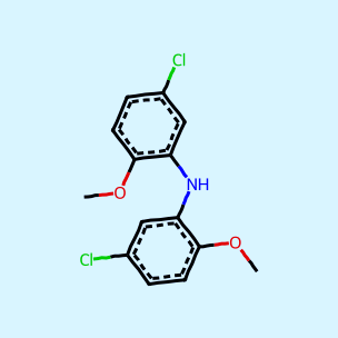 COc1ccc(Cl)cc1Nc1cc(Cl)ccc1OC